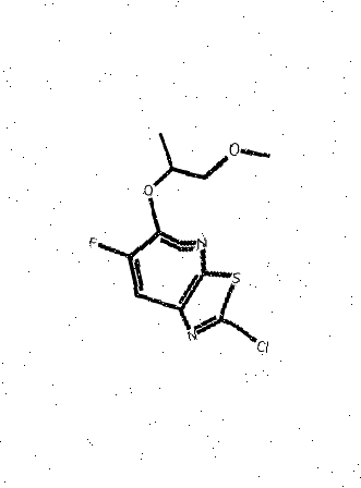 COCC(C)Oc1nc2sc(Cl)nc2cc1F